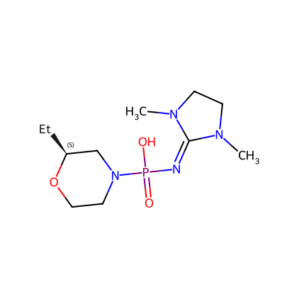 CC[C@H]1CN(P(=O)(O)N=C2N(C)CCN2C)CCO1